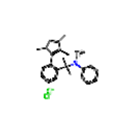 CC1=CC(C)C(c2ccccc2C(C)(C)[N]([Ti+2])c2ccccc2)=C1C.[Cl-].[Cl-]